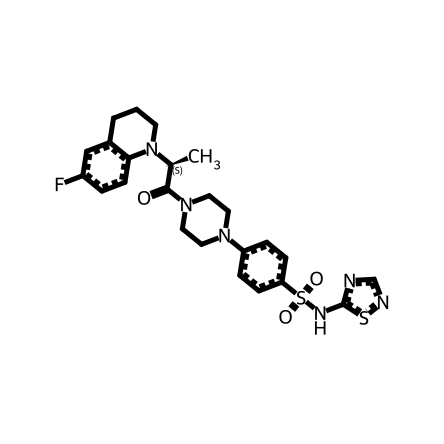 C[C@@H](C(=O)N1CCN(c2ccc(S(=O)(=O)Nc3ncns3)cc2)CC1)N1CCCc2cc(F)ccc21